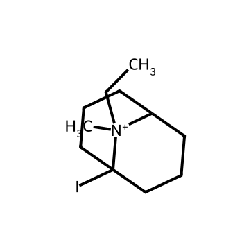 CC[N+]1(C)C2CCCC1(I)CCC2